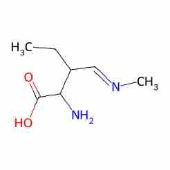 CCC(/C=N/C)C(N)C(=O)O